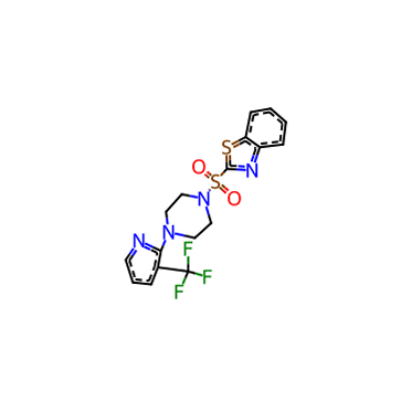 O=S(=O)(c1nc2ccccc2s1)N1CCN(c2ncccc2C(F)(F)F)CC1